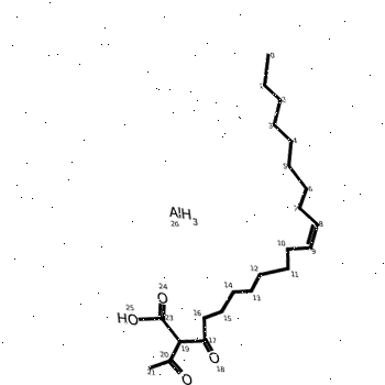 CCCCCCCC/C=C\CCCCCCCC(=O)C(C(C)=O)C(=O)O.[AlH3]